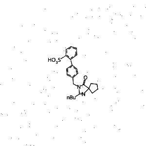 CCCCC1=NC2(CCCC2)C(=O)N1Cc1ccc(-c2ccccc2S(=O)(=O)O)cc1